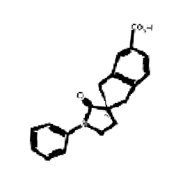 O=C(O)c1ccc2c(c1)C[C@]1(CCN(c3ccccc3)C1=O)C2